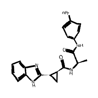 CCCc1ccc(NC(=O)[C@@H](C)NC(=O)[C@H]2C[C@@H]2c2nc3ccccc3[nH]2)cc1